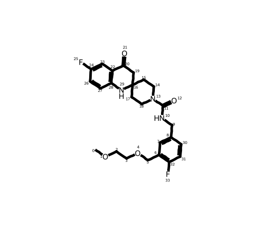 COCCOCc1cc(CNC(=O)N2CCC3(CC2)CC(=O)c2cc(F)ccc2N3)ccc1F